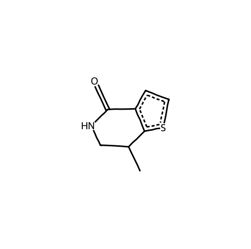 CC1CNC(=O)c2ccsc21